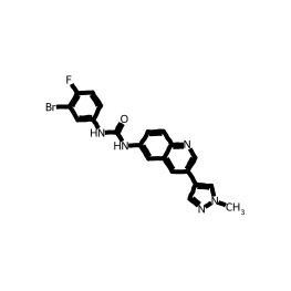 Cn1cc(-c2cnc3ccc(NC(=O)Nc4ccc(F)c(Br)c4)cc3c2)cn1